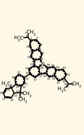 CC(C)c1ccc2cc3c(cc2c1)c1cc(-c2ccc4c(c2)C(C)(C)C2C=CC=CC42C)cc2c4cc5cc(C(C)C)ccc5cc4n3c12